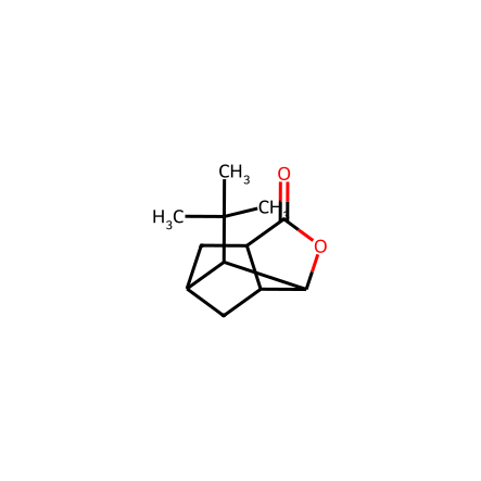 CC(C)(C)C1C2CC3C(=O)OC1C3C2